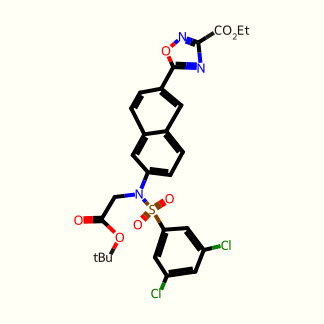 CCOC(=O)c1noc(-c2ccc3cc(N(CC(=O)OC(C)(C)C)S(=O)(=O)c4cc(Cl)cc(Cl)c4)ccc3c2)n1